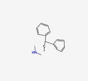 CCC(c1ccccc1)c1ccccc1.CNC